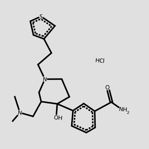 CN(C)CC1CN(CCc2ccsc2)CCC1(O)c1cccc(C(N)=O)c1.Cl